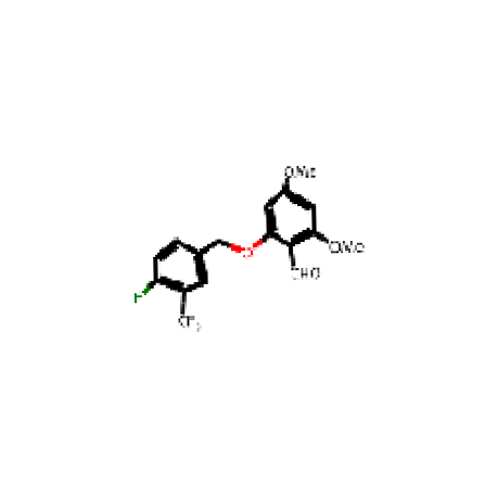 COc1cc(OC)c(C=O)c(OCc2ccc(F)c(C(F)(F)F)c2)c1